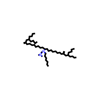 C=C(CCCCCCCCC(CCCCCCCCC(=C)CC(CCCC)CCCC)N(CCCCCCC)CN(C)C)CC(CCCC)CCCC